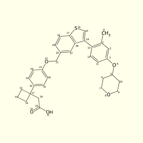 Cc1cc(OC2CCOCC2)ccc1-c1csc2ccc(COc3ccc(C4(CC(=O)O)CCC4)cc3)cc12